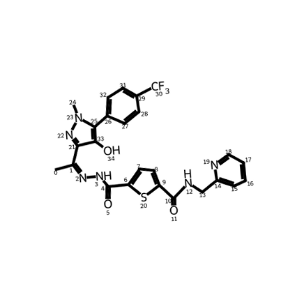 CC(=NNC(=O)c1ccc(C(=O)NCc2ccccn2)s1)c1nn(C)c(-c2ccc(C(F)(F)F)cc2)c1O